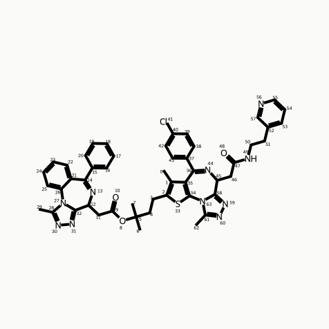 Cc1c(CCC(C)(C)OC(=O)CC2N=C(c3ccccc3)c3ccccc3-n3c(C)nnc32)sc2c1C(c1ccc(Cl)cc1)=NC(CC(=O)NCCc1cccnc1)c1nnc(C)n1-2